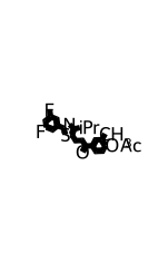 CC(=O)Oc1ccc(C(=O)CCc2sc(-c3cc(F)cc(F)c3)nc2C(C)C)cc1C